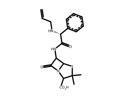 C=CCN[C@@H](C(=O)NC1C(=O)N2C1SC(C)(C)C2C(=O)O)c1ccccc1